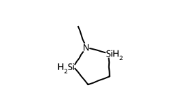 CN1[SiH2]CC[SiH2]1